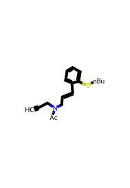 C#CCN(C/C=C/c1ccccc1SCCCC)C(C)=O